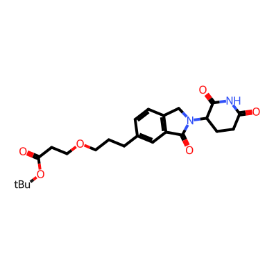 CC(C)(C)OC(=O)CCOCCCc1ccc2c(c1)C(=O)N(C1CCC(=O)NC1=O)C2